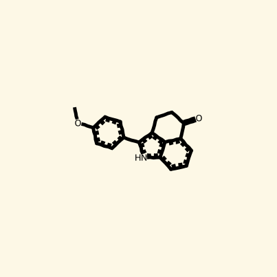 COc1ccc(-c2[nH]c3cccc4c3c2CCC4=O)cc1